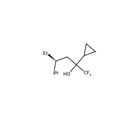 CC[C@@H](CC(O)(C1CC1)C(F)(F)F)C(C)C